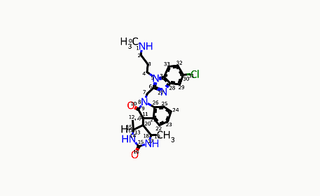 CNCCCn1c(CN2C(=O)[C@@]3(C[C@@H]4NC(=O)NC(C)C43)c3ccccc32)nc2cc(Cl)ccc21